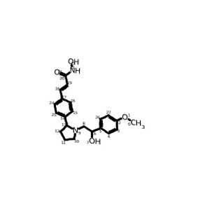 COc1ccc(C(O)CN2CCCC2c2ccc(C=CC(=O)NO)cc2)cc1